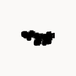 CN(C(=O)CN1C(=O)COc2cc(Cl)c(Cl)cc21)[C@@H](CN1CCOCC1)c1ccc(-c2cccc(C(=O)N3CCOCC3)c2)cc1